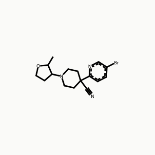 CC1OCCC1N1CCC(C#N)(c2ccc(Br)cn2)CC1